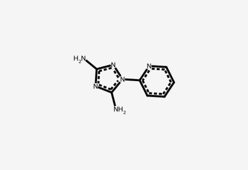 Nc1nc(N)n(-c2ccccn2)n1